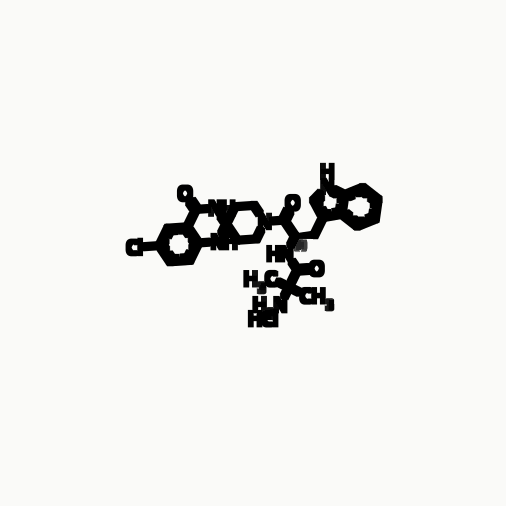 CC(C)(N)C(=O)N[C@H](Cc1c[nH]c2ccccc12)C(=O)N1CCC2(CC1)NC(=O)c1cc(Cl)ccc1N2.Cl